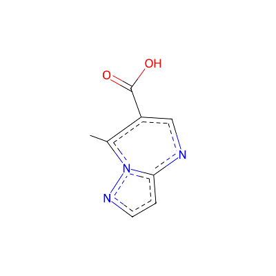 Cc1c(C(=O)O)cnc2ccnn12